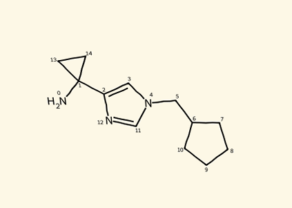 NC1(c2cn(CC3CCCC3)cn2)CC1